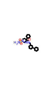 NS(=O)(=O)N1CCC(C(=O)NCc2cccc(-c3ccccc3)c2)(c2ccccc2)CC1